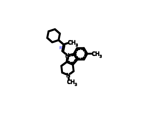 C/C(=C\n1c2c(c3cc(C)ccc31)CN(C)CC2)C1CCCCC1